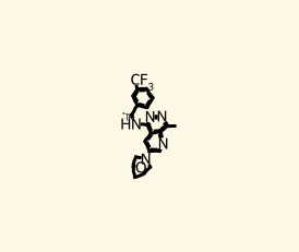 Cc1nnc(N[C@H](C)c2cccc(C(F)(F)F)c2)c2cc(N3CC4CC(C3)O4)cnc12